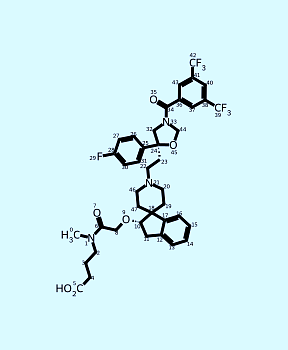 CN(CCCC(=O)O)C(=O)CO[C@H]1Cc2ccccc2C12CCN(CC[C@]1(c3ccc(F)cc3)CN(C(=O)c3cc(C(F)(F)F)cc(C(F)(F)F)c3)CO1)CC2